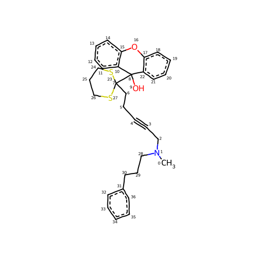 CN(CC#CCCC1(C2(O)c3ccccc3Oc3ccccc32)SCCCS1)CCCc1ccccc1